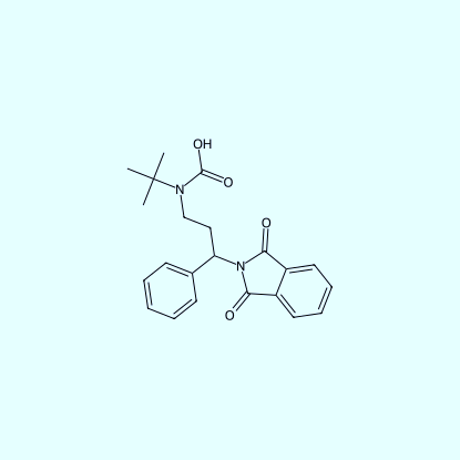 CC(C)(C)N(CCC(c1ccccc1)N1C(=O)c2ccccc2C1=O)C(=O)O